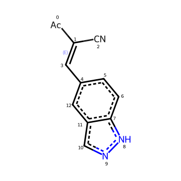 CC(=O)/C(C#N)=C/c1ccc2[nH]ncc2c1